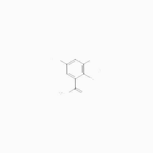 COC(=O)c1cc(C)cc(O)c1N.Cl